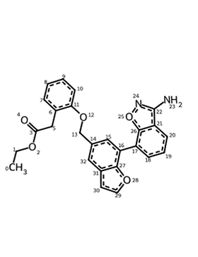 CCOC(=O)Cc1ccccc1OCc1cc(-c2cccc3c(N)noc23)c2occc2c1